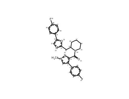 Cn1cc(-c2ccc(F)cc2)c(C(=O)N2CCCCC2Cc2ncc(-c3ccc(F)cc3)o2)n1